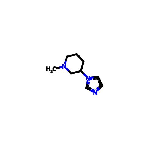 CN1CCCC(n2ccnc2)C1